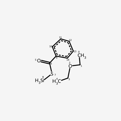 CCOCC.O=C(S[SiH3])c1ccccc1